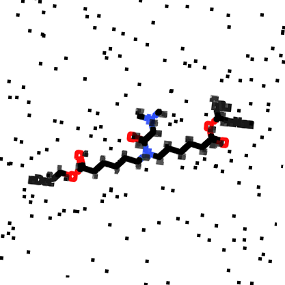 CCCCCCCCCCCOC(=O)CCCCCN(CCCCCC(=O)OC(CCCC)CCCCCCCCC)C(=O)CN(C)C